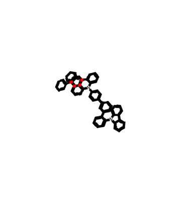 c1ccc(-c2ccc(-c3ccccc3N(c3ccc(-c4cccc(-c5ccccc5-n5c6ccccc6c6ccccc65)c4)cc3)c3cccc4c3oc3ccccc34)cc2)cc1